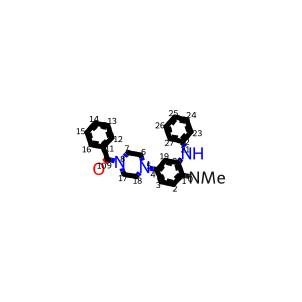 CNc1ccc(N2CCN(C(=O)c3ccccc3)CC2)cc1Nc1ccccc1